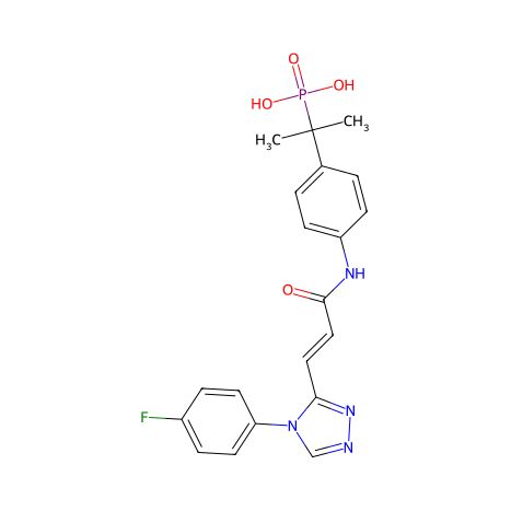 CC(C)(c1ccc(NC(=O)C=Cc2nncn2-c2ccc(F)cc2)cc1)P(=O)(O)O